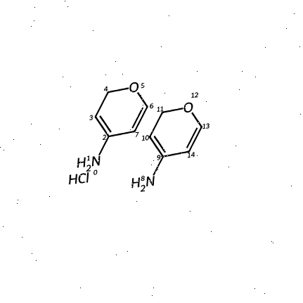 Cl.NC1=CCOC=C1.NC1=CCOC=C1